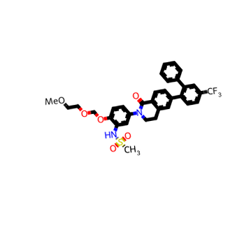 COCCOCOc1ccc(N2CCc3cc(-c4ccc(C(F)(F)F)cc4-c4ccccc4)ccc3C2=O)cc1NS(C)(=O)=O